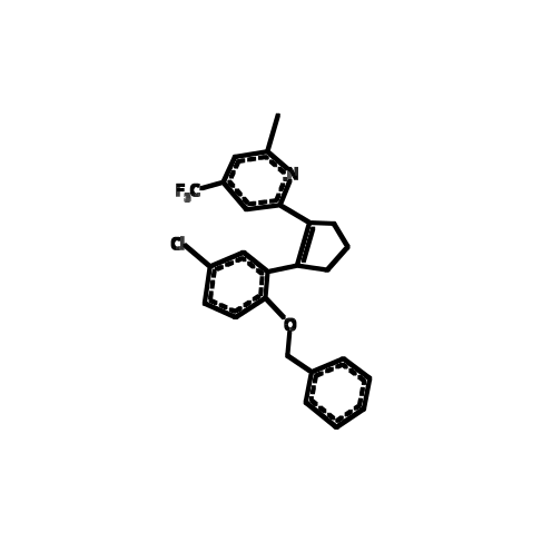 Cc1cc(C(F)(F)F)cc(C2=C(c3cc(Cl)ccc3OCc3ccccc3)CCC2)n1